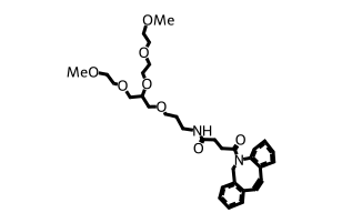 COCCOCCOC(COCCCNC(=O)CCC(=O)N1Cc2ccccc2C#Cc2ccccc21)COCCOC